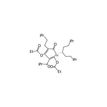 CCC(=O)OC1=C(CCC(C)C)C(=O)[C@H](C(CCC(C)C)CCC(C)C)C(OC(=O)CC)=C1C(=O)C(C)C